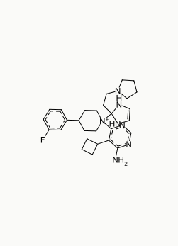 Nc1ncnc([N+]2(C3(CCN4CCCC4)NC=CN3)CCC(c3cccc(F)c3)CC2)c1C1CCC1